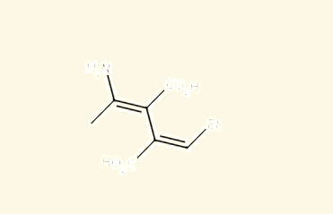 CC/C=C(C(=O)O)\C(C(=O)O)=C(/C)N